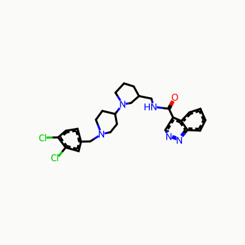 O=C(NCC1CCCN(C2CCN(Cc3ccc(Cl)c(Cl)c3)CC2)C1)c1cnnc2ccccc12